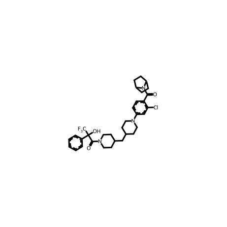 O=C(c1ccc(N2CCC(CC3CCN(C(=O)C(O)(c4ccccc4)C(F)(F)F)CC3)CC2)cc1Cl)N1C2CCC1CC2